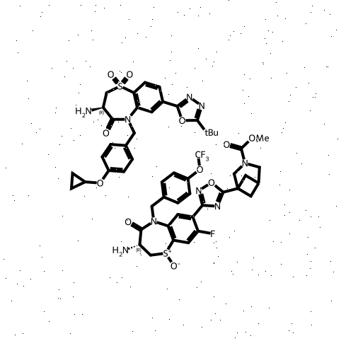 CC(C)(C)c1nnc(-c2ccc3c(c2)N(Cc2ccc(OC4CC4)cc2)C(=O)[C@@H](N)CS3(=O)=O)o1.COC(=O)N1CC2CC(c3nc(-c4cc5c(cc4F)[S+]([O-])C[C@H](N)C(=O)N5Cc4ccc(OC(F)(F)F)cc4)no3)(C2)C1